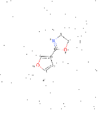 Cc1cc(C2=NCCO2)[c]o1